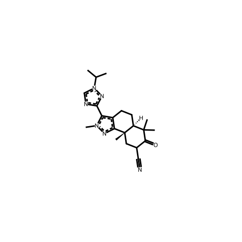 CC(C)n1cnc(-c2c3c(nn2C)[C@@]2(C)CC(C#N)C(=O)C(C)(C)[C@@H]2CC3)n1